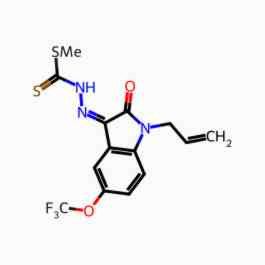 C=CCN1C(=O)C(=NNC(=S)SC)c2cc(OC(F)(F)F)ccc21